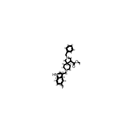 COC(=O)C1CN(Cc2ccccc2)CC12CCN(Cc1c[nH]c3ccc(F)cc13)CC2